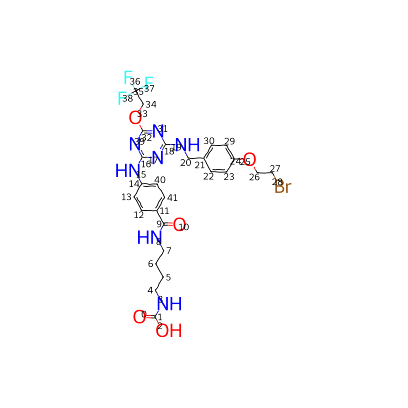 O=C(O)NCCCCNC(=O)c1ccc(Nc2nc(NCc3ccc(OCCBr)cc3)nc(OCC(F)(F)F)n2)cc1